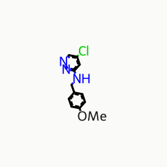 COc1ccc(CNc2cc(Cl)cnn2)cc1